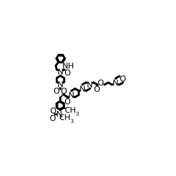 Cc1cc(C[C@@H](OC(=O)N2CCC(N3CCc4ccccc4NC3=O)CC2)C(=O)N2CCC(N3CCN(CC(=O)OCCCN4CCOCC4)CC3)CC2)cc2oc(=O)n(C)c12